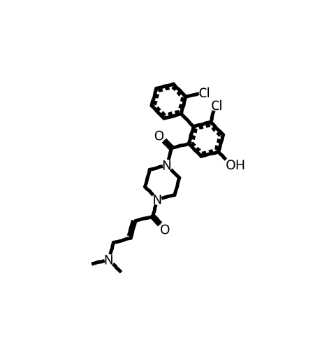 CN(C)CC=CC(=O)N1CCN(C(=O)c2cc(O)cc(Cl)c2-c2ccccc2Cl)CC1